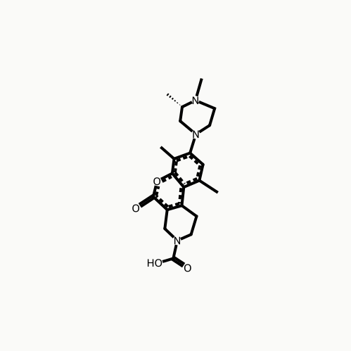 Cc1c(N2CCN(C)[C@@H](C)C2)cc(C)c2c3c(c(=O)oc12)CN(C(=O)O)CC3